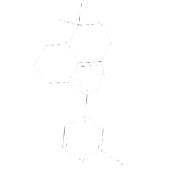 CC1(C)NCc2sc(-c3ccnc(N)c3)c3c2N1CCO3